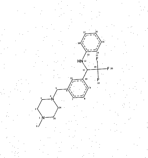 CN1CCN(Cc2cccc(C(Nc3ccccc3)C(F)(F)F)c2)CC1